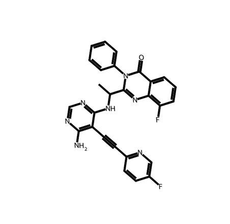 CC(Nc1ncnc(N)c1C#Cc1ccc(F)cn1)c1nc2c(F)cccc2c(=O)n1-c1ccccc1